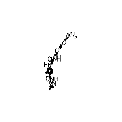 Cc1cnc(NC(=O)c2ccc(NCC(=O)NCCOCCOCCN)cc2C)s1